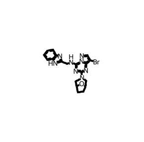 Brc1cnn2c(NCc3nc4ccccc4[nH]3)nc(N3CC4CCC(C3)O4)nc12